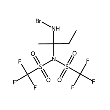 CCC(C)(NBr)N(S(=O)(=O)C(F)(F)F)S(=O)(=O)C(F)(F)F